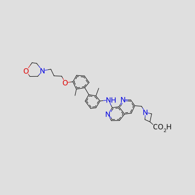 Cc1c(Nc2nccc3cc(CN4CC(C(=O)O)C4)cnc23)cccc1-c1cccc(OCCCN2CCOCC2)c1C